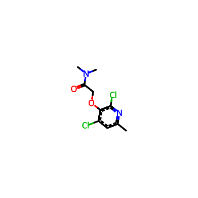 Cc1cc(Cl)c(OCC(=O)N(C)C)c(Cl)n1